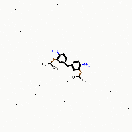 CC(C)Sc1cc(Cc2ccc(N)c(SC(C)C)c2)ccc1N